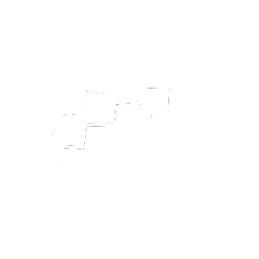 Cc1ccc2ccc(N3CCC(C(=O)O)C3)nc2c1